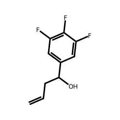 C=CCC(O)c1cc(F)c(F)c(F)c1